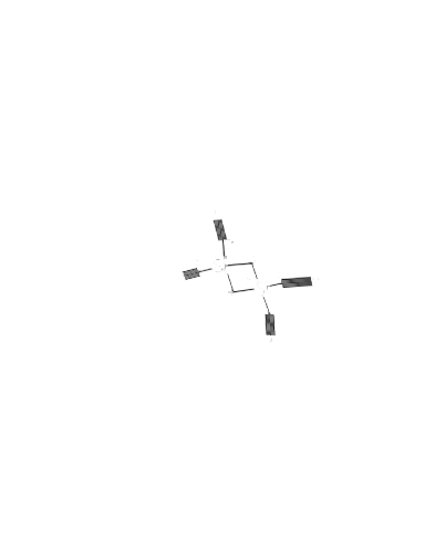 C#C[Si]1(C#C)C[Si](C#C)(C#C)C1